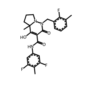 Cc1cccc(CN2C(=O)C(C(=O)Nc3cc(F)c(C)c(F)c3)=C(O)C3(C)CCCN23)c1F